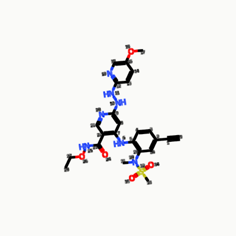 C#Cc1ccc(Nc2cc(NNc3ccc(OC)cn3)ncc2C(=O)NOCC)c(N(C)S(C)(=O)=O)c1